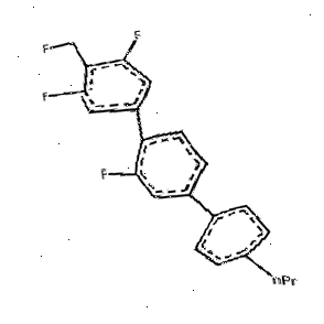 CCCc1ccc(-c2ccc(-c3cc(F)c(CF)c(F)c3)c(F)c2)cc1